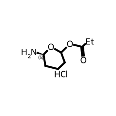 CCC(=O)OC1CCC[C@@H](N)O1.Cl